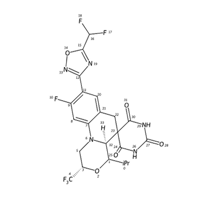 CC(C)C1O[C@H](C(F)(F)F)CN2c3cc(F)c(-c4noc(C(F)F)n4)cc3CC3(C(=O)NC(=O)NC3=O)[C@@H]12